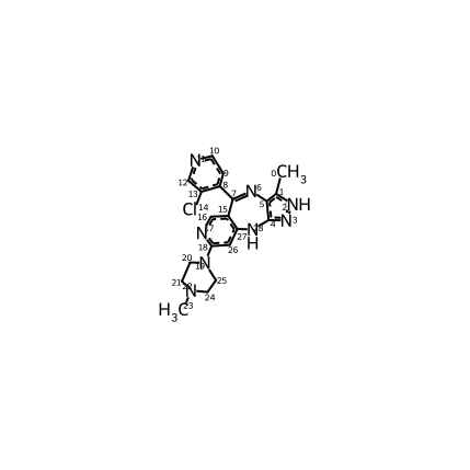 Cc1[nH]nc2c1N=C(c1ccncc1Cl)c1cnc(N3CCN(C)CC3)cc1N2